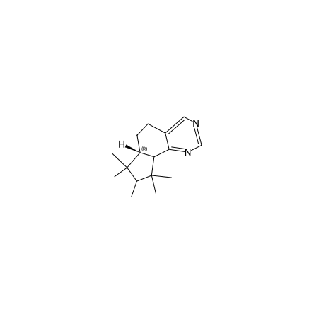 CC1C(C)(C)C2c3ncncc3CC[C@H]2C1(C)C